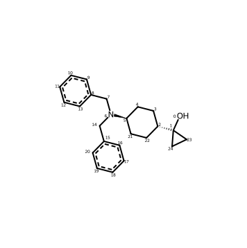 OC1([C@H]2CC[C@H](N(Cc3ccccc3)Cc3ccccc3)CC2)CC1